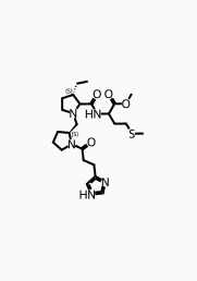 CC[C@H]1CCN(C[C@@H]2CCCN2C(=O)CCc2c[nH]cn2)C1C(=O)NC(CCSC)C(=O)OC